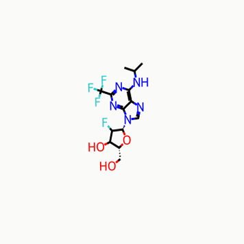 CC(C)Nc1nc(C(F)(F)F)nc2c1ncn2[C@@H]1O[C@H](CO)C(O)C1F